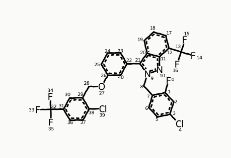 Fc1cc(Cl)ccc1Cn1nc2c(C(F)(F)F)cccc2c1-c1cccc(OCc2cc(C(F)(F)F)ccc2Cl)c1